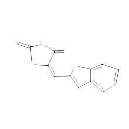 N=C1NC(=O)/C(=C\c2cc3ccccc3o2)S1